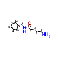 NCCCCC(=O)NCc1ccccc1